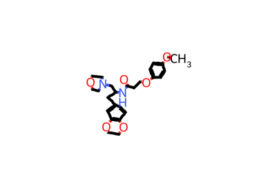 COc1ccc(OCCC(=O)NC(Cc2ccc3c(c2)OCCO3)CN2CCOCC2)cc1